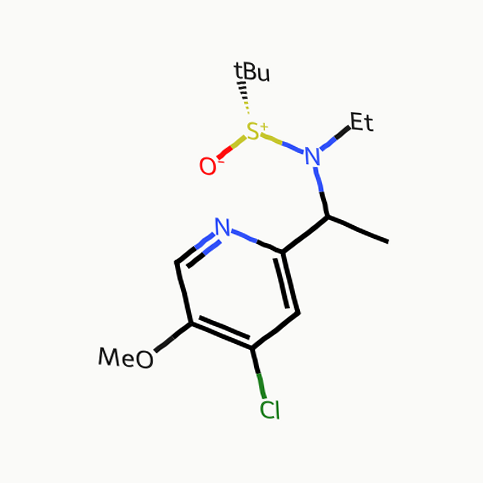 CCN(C(C)c1cc(Cl)c(OC)cn1)[S@+]([O-])C(C)(C)C